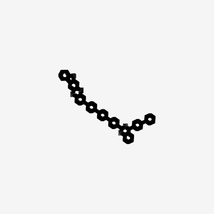 c1ccc(-c2ccc(-c3nc(-c4ccc(-c5ccc(-c6ccc(-c7ccc8nc9cc%10c(cc9nc8c7)oc7ccccc7%10)cc6)cc5)cc4)nc4ccccc34)cc2)cc1